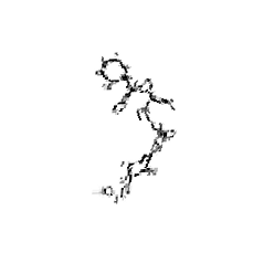 CC(OC(=O)c1ccccc1)On1on1N1CC(C(=O)O)C1